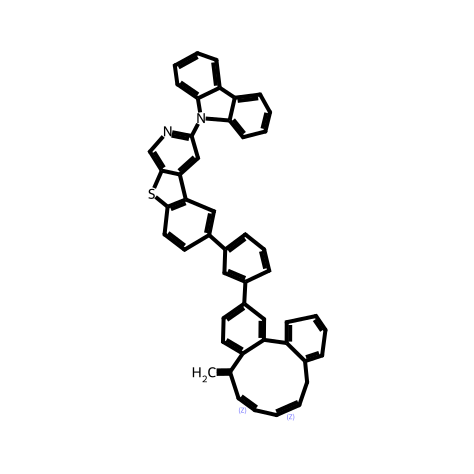 C=C1/C=C\C=C/Cc2ccccc2-c2cc(-c3cccc(-c4ccc5sc6cnc(-n7c8ccccc8c8ccccc87)cc6c5c4)c3)ccc21